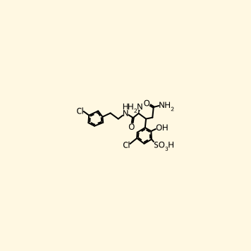 NC(=O)CC(c1cc(Cl)cc(S(=O)(=O)O)c1O)[C@H](N)C(=O)NCCc1cccc(Cl)c1